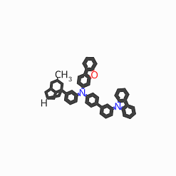 C[C@H]1CC2C[C@@H]3CC2C(c2cccc(N(c4ccc(-c5cccc(-n6c7ccccc7c7ccccc76)c5)cc4)c4ccc5c(c4)oc4ccccc45)c2)(C1)C3